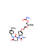 COc1ccc(CN2C(=O)CCC(n3c(=O)n(C)c4cc(OCCOC(COC(N)=O)C(C)(C)C)ccc43)C2=O)cc1